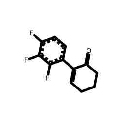 O=C1CCCC=C1c1ccc(F)c(F)c1F